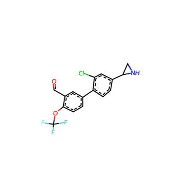 O=Cc1cc(-c2ccc(C3CN3)cc2Cl)ccc1OC(F)(F)F